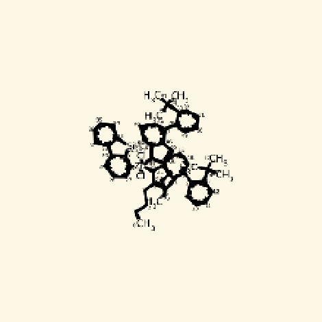 CCCCC1=Cc2c(-c3ccccc3C(C)(C)C)cccc2[CH]1[Zr]([Cl])([Cl])([c]1cccc2c1[SiH2]c1ccccc1-2)[CH]1C(CCCC)=Cc2c(-c3ccccc3C(C)(C)C)cccc21